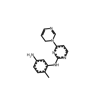 Cc1ccc(N)cc1Nc1nccc(N2C=NC=CC2)n1